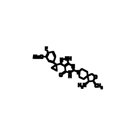 COc1cc(C2(c3n[nH]c4nc(N5CCC6(CC5)CO[C@@H](C)[C@H]6N)[nH]c(=O)c34)CC2)ccc1F